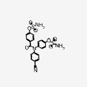 N#Cc1ccc(N(C(=O)c2ccc(OS(N)(=O)=O)cc2)c2ccc(OS(N)(=O)=O)cc2)cc1